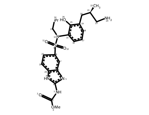 COC(=O)Nc1nc2cc(S(=O)(=O)N(CC(C)C)c3cccc(C[C@@H](C)CN)c3O)ccc2[nH]1